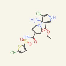 CCOC(=O)C1=CNC=C(Cl)C1(N)N1CCC(C(=O)NS(=O)(=O)c2ccc(Cl)s2)CC1